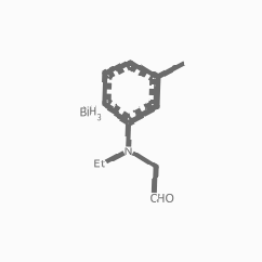 CCN(CC=O)c1cccc(C)c1.[BiH3]